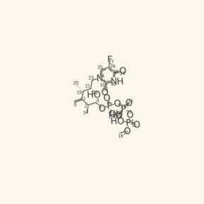 C=C([C@H](C)COP(=O)(O)OP(=O)(O)OP(=O)(O)OC)[C@H](C)[C@@H](O)Cn1cc(F)c(=O)[nH]c1=O